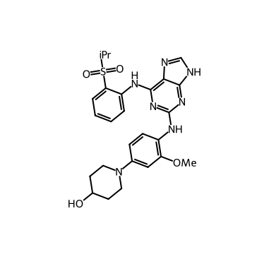 COc1cc(N2CCC(O)CC2)ccc1Nc1nc(Nc2ccccc2S(=O)(=O)C(C)C)c2nc[nH]c2n1